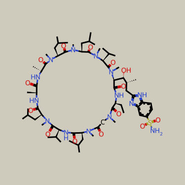 CC[C@@H]1NC(=O)[C@H]([C@H](O)[C@H](C)Cc2nc3cc(S(N)(=O)=O)ccc3[nH]2)N(C)C(=O)[C@H](C(C)C)N(C)C(=O)[C@H](CC(C)C)N(C)C(=O)[C@H](CC(C)C)N(C)C(=O)[C@@H](C)NC(=O)[C@H](C)NC(=O)[C@H](CC(C)C)N(C)C(=O)[C@H](C(C)C)NC(=O)[C@H](CC(C)C)N(C)C(=O)CN(C)C1=O